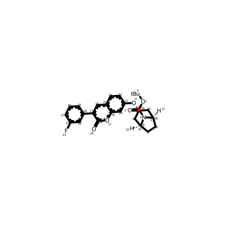 CC(C)(C)OC(=O)N1[C@@H]2CC[C@H]1C[C@H](Oc1ccc3cc(-c4cccc(F)c4)c(=O)oc3c1)C2